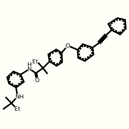 CCC(C)(C)Nc1cccc(NC(=O)C(C)(CC)c2ccc(Oc3cccc(C#Cc4ccccc4)c3)cc2)c1